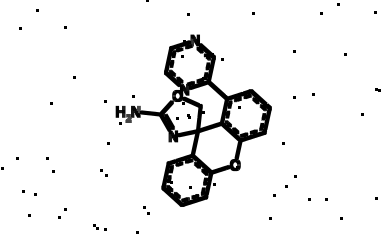 NC1=NC2(CO1)c1ccccc1Oc1cccc(-c3cnccn3)c12